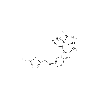 Cc1ncc(COc2ccc3cc(C)c(N(C=O)C(C)(CO)C(N)=O)n3c2)s1